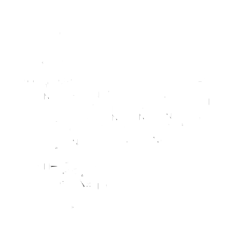 O=C(Nc1ccnc(N2CCC(F)(F)CC2)n1)c1c(F)cc(NS(=O)(=O)CCO)cc1N1CC[C@]2(C(F)F)C[C@@H]2C1